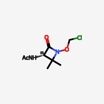 CC(=O)N[C@@H]1C(=O)N(OCCl)C1(C)C